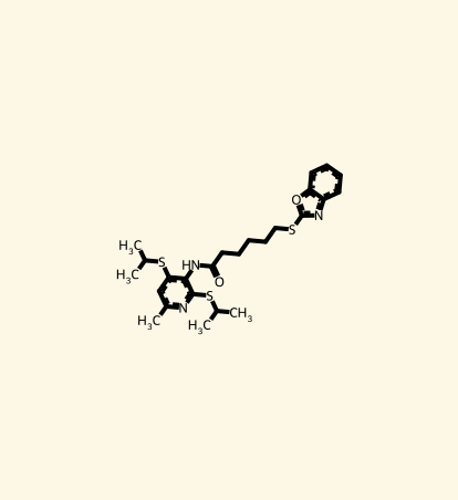 Cc1cc(SC(C)C)c(NC(=O)CCCCCSc2nc3ccccc3o2)c(SC(C)C)n1